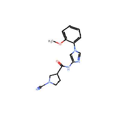 COc1ccccc1-n1cnc(NC(=O)C2CCN(C#N)C2)c1